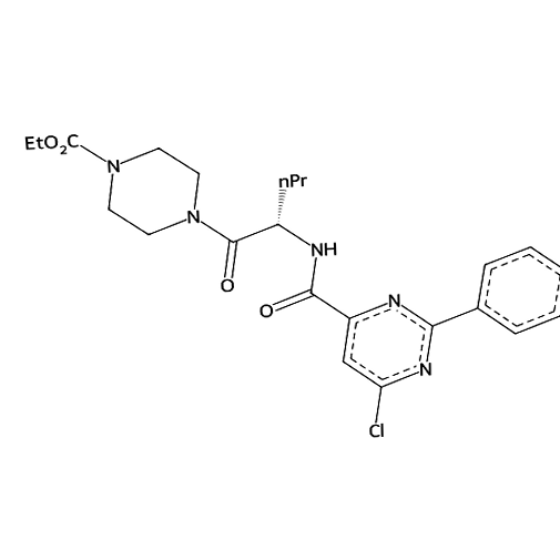 CCC[C@H](NC(=O)c1cc(Cl)nc(-c2ccccc2)n1)C(=O)N1CCN(C(=O)OCC)CC1